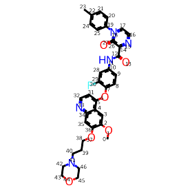 COc1cc2c(Oc3ccc(NC(=O)c4nccn(-c5ccc(C)cc5)c4=O)cc3F)ccnc2cc1OCCCN1CCOCC1